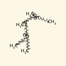 CCCCCCCCCC(=O)OC(C)CCCCCCN(CC)CCCCCCCC(=O)OC(CCCCCCCC)CCCCCCCC